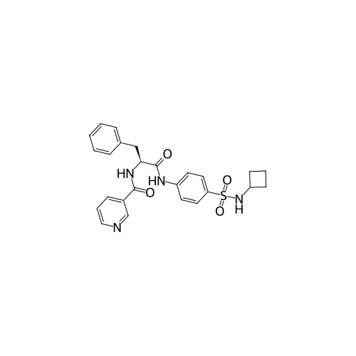 O=C(N[C@@H](Cc1ccccc1)C(=O)Nc1ccc(S(=O)(=O)NC2CCC2)cc1)c1cccnc1